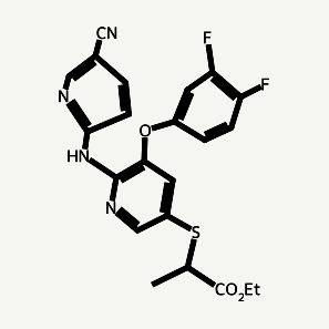 CCOC(=O)C(C)Sc1cnc(Nc2ccc(C#N)cn2)c(Oc2ccc(F)c(F)c2)c1